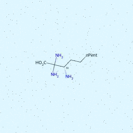 CCCCCCC[C@H](N)C(N)(N)C(=O)O